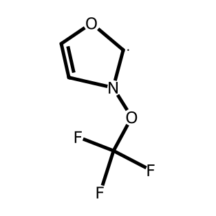 FC(F)(F)ON1[CH]OC=C1